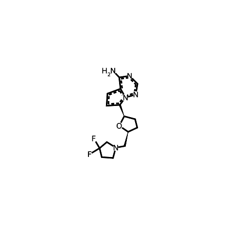 Nc1ncnn2c([C@H]3CC[C@@H](CN4CCC(F)(F)C4)O3)ccc12